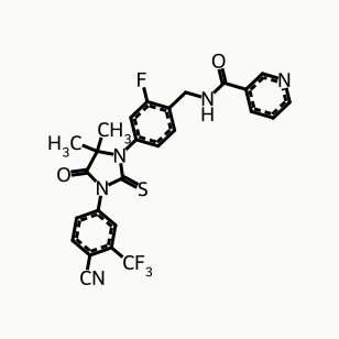 CC1(C)C(=O)N(c2ccc(C#N)c(C(F)(F)F)c2)C(=S)N1c1ccc(CNC(=O)c2cccnc2)c(F)c1